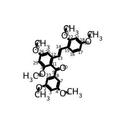 COc1cc(OC)cc(C(=O)c2c(/C=C/c3ccc(OC)cc3OC)cc(OC)cc2OC)c1